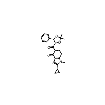 Cn1c(C2CC2)nc2c1CCC(C(=O)[C@@H]1OC(C)(C)O[C@H]1c1ccccc1)C2=O